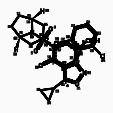 O=C(O)c1cc(F)cc(S(=O)(=O)N2[C@@H]3CC[C@H]2C[C@H](OC(=O)c2c(-c4c(Cl)cccc4Cl)noc2C2CC2)C3)c1